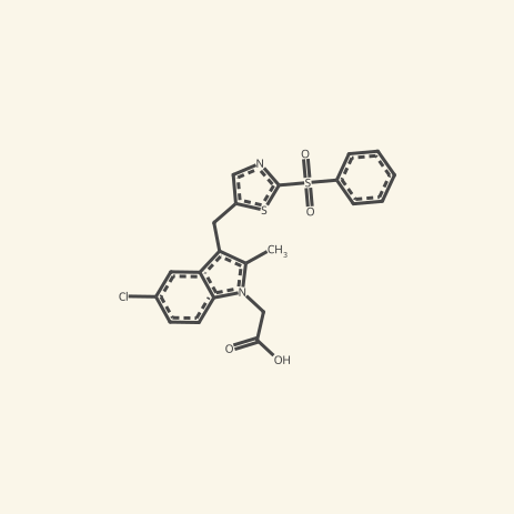 Cc1c(Cc2cnc(S(=O)(=O)c3ccccc3)s2)c2cc(Cl)ccc2n1CC(=O)O